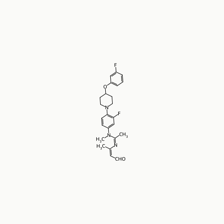 CC(=C/C=O)/N=C(/C)N(C)c1ccc(N2CCC(Oc3cccc(F)c3)CC2)c(F)c1